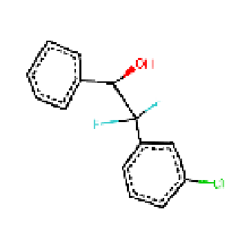 O[C@H](c1ccccc1)C(F)(F)c1cccc(Cl)c1